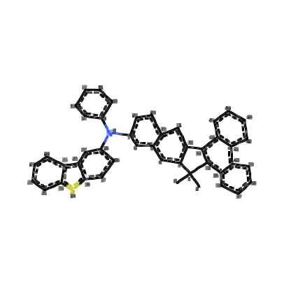 CC1(C)c2cc3cc(N(c4ccccc4)c4ccc5sc6ccccc6c5c4)ccc3cc2-c2c1c1ccccc1c1ccccc21